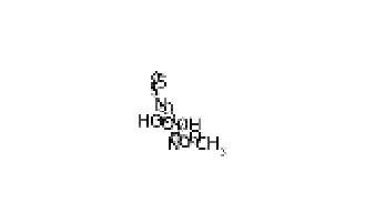 COc1ccc2nccc([C@H](O)CCC3CCN(CCSc4cccs4)C[C@H]3C(=O)O)c2c1